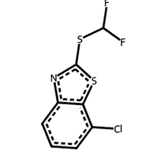 FC(F)Sc1nc2cccc(Cl)c2s1